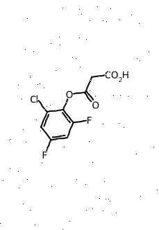 O=C(O)CC(=O)Oc1c(F)cc(F)cc1Cl